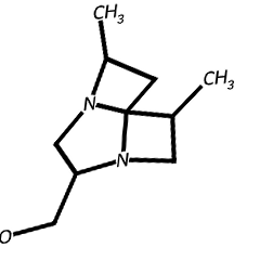 CC1CC23C(C)CN2C(CO)CN13